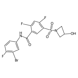 O=C(Nc1ccc(F)c(Br)c1)c1cc(S(=O)(=O)N2CC(O)C2)c(F)cc1F